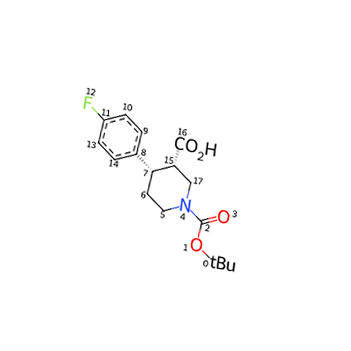 CC(C)(C)OC(=O)N1CC[C@H](c2ccc(F)cc2)[C@H](C(=O)O)C1